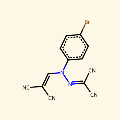 N#CC(C#N)=CN(N=C(C#N)C#N)c1ccc(Br)cc1